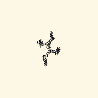 COOOSON=C(c1ccc(OCC(COc2ccc(/C(=N/OS(C)=O)C(F)(F)F)cc2)OC(=O)CCC(=O)OC(COc2ccc(/C(=N/OSOOC)C(F)(F)F)cc2)COc2ccc(/C(=N/OS(C)(=O)=O)C(F)(F)F)cc2)cc1)C(F)(F)F